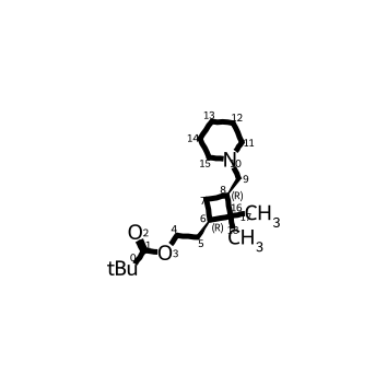 CC(C)(C)C(=O)OCC[C@H]1C[C@@H](CN2CCCCC2)C1(C)C